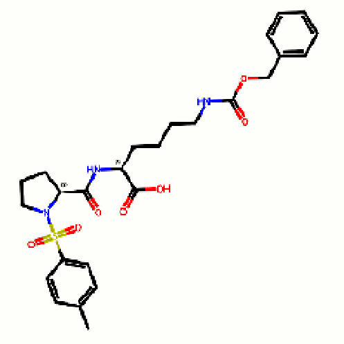 Cc1ccc(S(=O)(=O)N2CCC[C@H]2C(=O)N[C@@H](CCCCNC(=O)OCc2ccccc2)C(=O)O)cc1